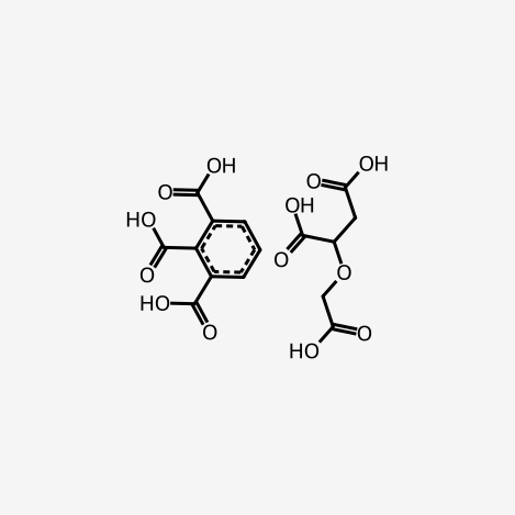 O=C(O)COC(CC(=O)O)C(=O)O.O=C(O)c1cccc(C(=O)O)c1C(=O)O